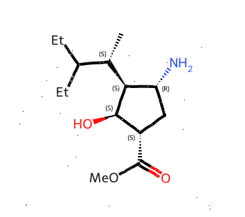 CCC(CC)[C@H](C)[C@@H]1[C@H](O)[C@@H](C(=O)OC)C[C@H]1N